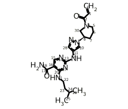 C=CC(=O)N1CCC[C@@H](n2cc(Nc3ncc(C(N)=O)c(NCCC(C)C)n3)cn2)C1